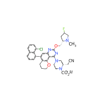 CN1C[C@H](F)C[C@H]1COc1nc(N2CCN(C(=O)O)[C@@H](CC#N)C2)c2c3c(c(-c4cccc5cccc(Cl)c45)cc2n1)CCCO3